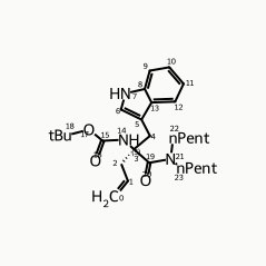 C=CC[C@@](Cc1c[nH]c2ccccc12)(NC(=O)OC(C)(C)C)C(=O)N(CCCCC)CCCCC